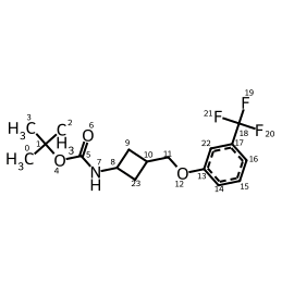 CC(C)(C)OC(=O)NC1CC(COc2cccc(C(F)(F)F)c2)C1